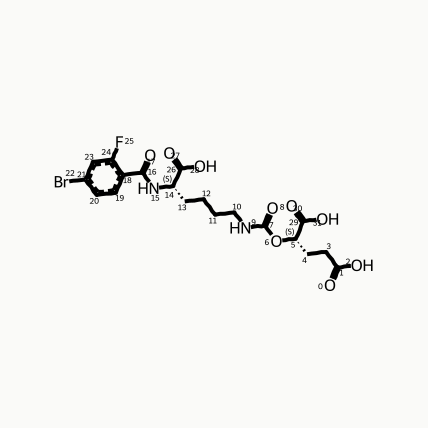 O=C(O)CC[C@H](OC(=O)NCCCC[C@H](NC(=O)c1ccc(Br)cc1F)C(=O)O)C(=O)O